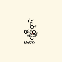 COC(=O)C1CC(O)C(NC(=O)N[C@](Cc2ccccc2)(c2ccc(F)cc2)c2cc(F)cc(OC(F)(F)C(F)F)c2)C1